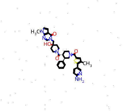 Cc1cc(C(=O)N2CC[C@@H](C(=O)N3CCC(O)(Cn4cnc5c(ccn5C)c4=O)CC3)[C@H](c3ccccc3)C2)sc1-c1ccc(N)nc1